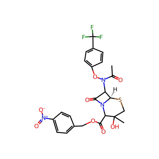 CC(=O)N(Oc1ccc(C(F)(F)F)cc1)C1C(=O)N2C(C(=O)OCc3ccc([N+](=O)[O-])cc3)C(C)(O)CS[C@H]12